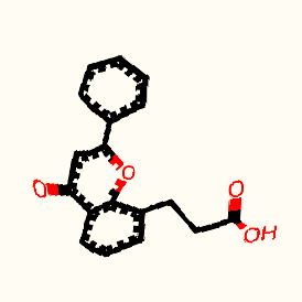 O=C(O)CCc1cccc2c(=O)cc(-c3ccccc3)oc12